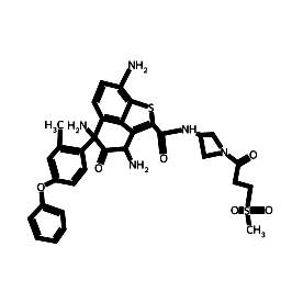 Cc1cc(Oc2ccccc2)ccc1C1(N)C(=O)C(N)c2c(C(=O)NC3CN(C(=O)CCS(C)(=O)=O)C3)sc3c(N)ccc1c23